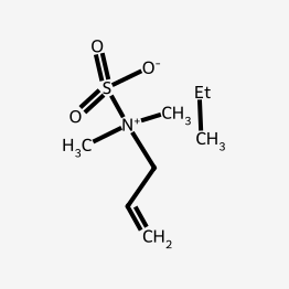 C=CC[N+](C)(C)S(=O)(=O)[O-].CCC